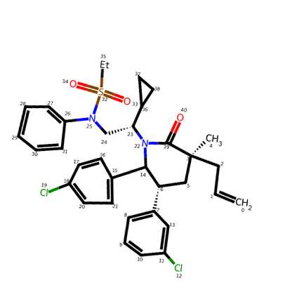 C=CC[C@@]1(C)C[C@H](c2cccc(Cl)c2)C(c2ccc(Cl)cc2)N([C@H](CN(c2ccccc2)S(=O)(=O)CC)C2CC2)C1=O